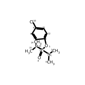 CN(C)P(=O)(Oc1ccc(Cl)cc1)N(C)C